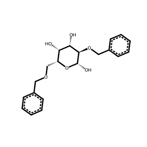 O[C@@H]1[C@H](O)[C@@H](OCc2ccccc2)[C@H](O)O[C@@H]1COCc1ccccc1